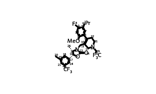 COc1cc(F)c(C(C)C)cc1C1=C(CN2C(=O)O[C@H](c3cc(C)cc(C(F)(F)F)c3)[C@@H]2C)CN(CC(F)(F)F)CC1